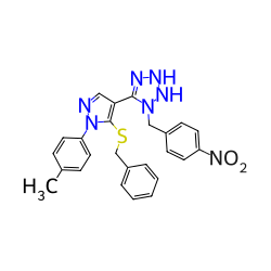 Cc1ccc(-n2ncc(C3=NNNN3Cc3ccc([N+](=O)[O-])cc3)c2SCc2ccccc2)cc1